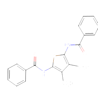 CCOC(=O)c1c(NC(=O)c2ccccc2)sc(NC(=O)c2ccccc2)c1C(=O)OCC